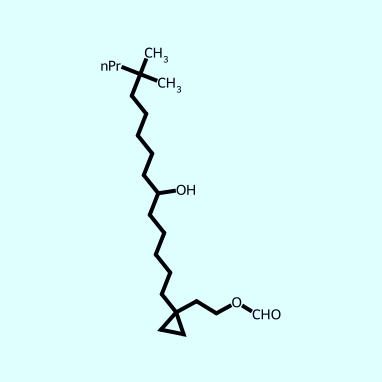 CCCC(C)(C)CCCCCC(O)CCCCCC1(CCOC=O)CC1